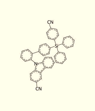 N#Cc1ccc([Si](c2ccccc2)(c2ccccc2)c2ccc(-c3ccccc3-n3c4ccccc4c4cc(C#N)ccc43)cc2)cc1